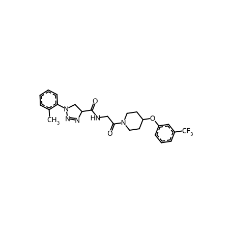 Cc1ccccc1N1CC(C(=O)NCC(=O)N2CCC(Oc3cccc(C(F)(F)F)c3)CC2)N=N1